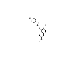 CCOc1ccc(CC(C(=O)OC)C(=O)OC)cc1COC(=O)Nc1ccc(C(F)(F)F)cc1